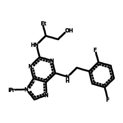 CCC(CO)Nc1nc(NCc2cc(F)ccc2F)c2ncn(C(C)C)c2n1